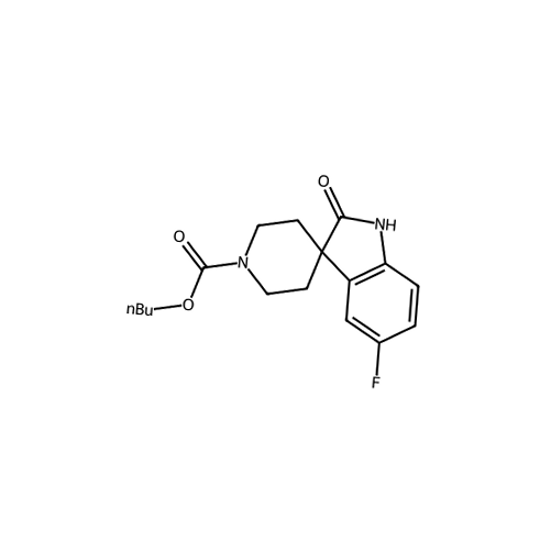 CCCCOC(=O)N1CCC2(CC1)C(=O)Nc1ccc(F)cc12